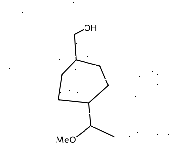 COC(C)C1CCC(CO)CC1